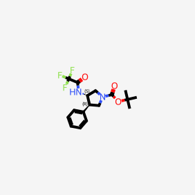 CC(C)(C)OC(=O)N1C[C@@H](NC(=O)C(F)(F)F)[C@H](c2ccccc2)C1